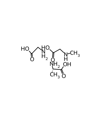 CNCC(=O)O.C[C@H](N)C(=O)O.NCC(=O)O